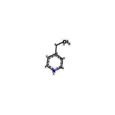 CCc1c[c]ncc1